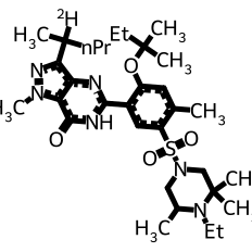 [2H]C(C)(CCC)c1nn(C)c2c(=O)[nH]c(-c3cc(S(=O)(=O)N4CC(C)N(CC)C(C)(C)C4)c(C)cc3OC(C)(C)CC)nc12